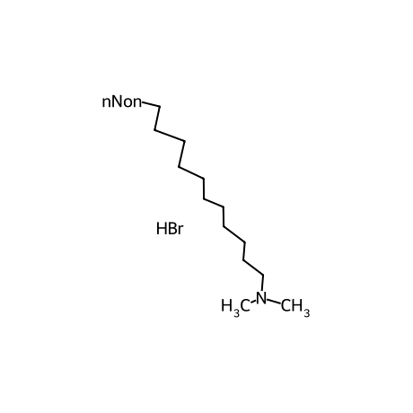 Br.CCCCCCCCCCCCCCCCCCCCN(C)C